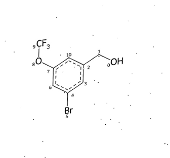 O[CH]c1cc(Br)cc(OC(F)(F)F)c1